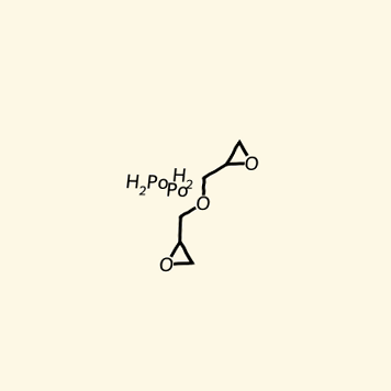 C(OCC1CO1)C1CO1.[PoH2].[PoH2]